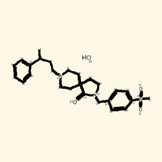 CC(CCN1CCC2(CC1)CCN(Cc1ccc(S(C)(=O)=O)cc1)C2=O)c1ccccc1.Cl